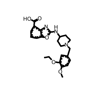 CCOc1cc(CN2CCC(Nc3nc4c(C(=O)O)cccc4o3)CC2)ccc1OC